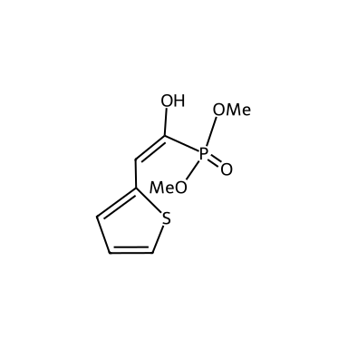 COP(=O)(OC)C(O)=Cc1cccs1